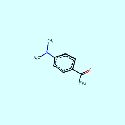 CCCCC(=O)c1ccc(N(C)C)cc1